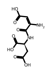 N/C(=C/C(=O)O)C(=O)N[C@@H](CC(=O)O)C(=O)O